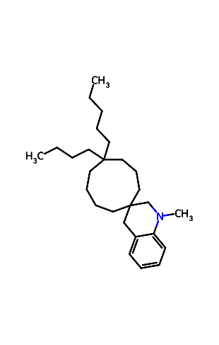 CCCCCC1(CCCC)CCCCC2(CCC1)Cc1ccccc1N(C)C2